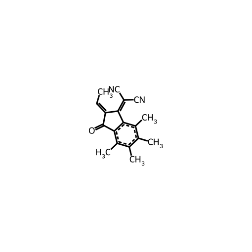 C/C=C1/C(=O)c2c(C)c(C)c(C)c(C)c2C1=C(C#N)C#N